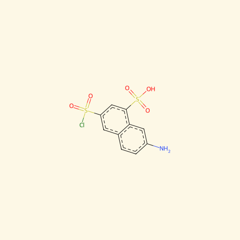 Nc1ccc2cc(S(=O)(=O)Cl)cc(S(=O)(=O)O)c2c1